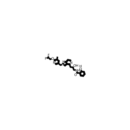 Cc1cc(Cn2cc3c(C[C@@H](O)CNC(=O)c4ccccc4O)nccc3n2)cnc1OCC(F)F